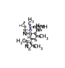 CCC/C(C)=C(/C(=N)C1CC1)c1cc(C2=C(C)CN=C2C)cc(C)c1NC=N